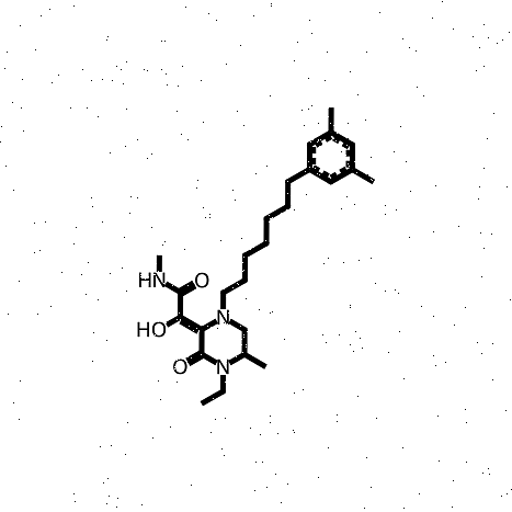 CCN1C(=O)/C(=C(\O)C(=O)NC)N(CCCCCCCc2cc(C)cc(C)c2)CC1C